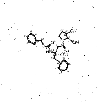 O=C(N[C@@](O)(CC(=O)N1CC[C@@H](O)C1O)Cc1ccccc1)OCc1ccccc1